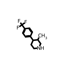 CC1CNCCC1c1ccc(C(F)(F)F)cc1